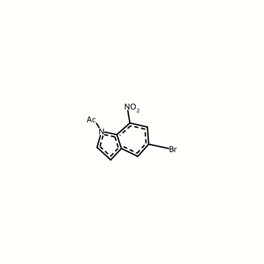 CC(=O)n1ccc2cc(Br)cc([N+](=O)[O-])c21